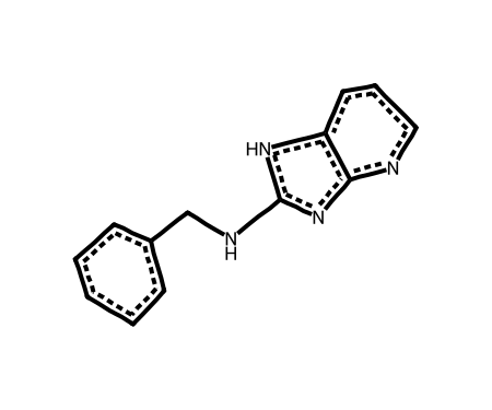 c1ccc(CNc2nc3ncccc3[nH]2)cc1